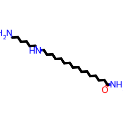 NCCCCCCNCCCCCCCCCCCCCCCC(N)=O